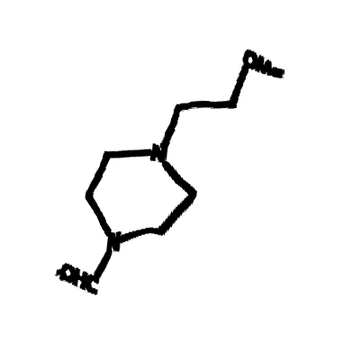 COCCN1CCN([C]=O)CC1